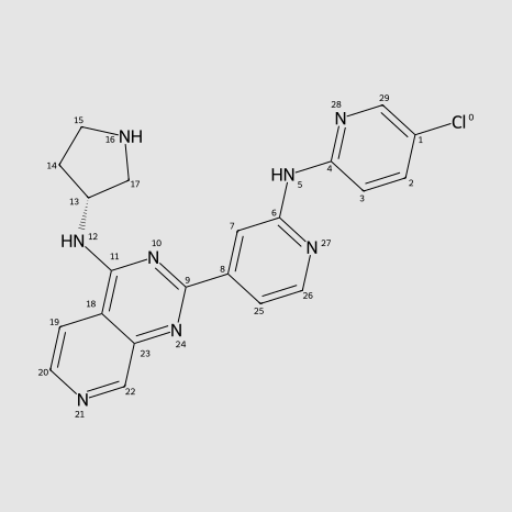 Clc1ccc(Nc2cc(-c3nc(N[C@@H]4CCNC4)c4ccncc4n3)ccn2)nc1